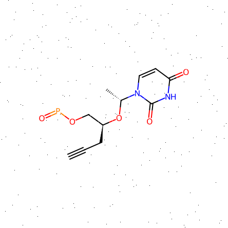 C#CC[C@@H](COP=O)O[C@H](C)n1ccc(=O)[nH]c1=O